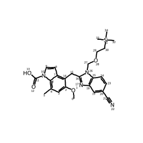 COc1cc(C)c2c(ccn2C(=O)O)c1Cc1nc2cc(C#N)ccc2n1COCC[Si](C)(C)C